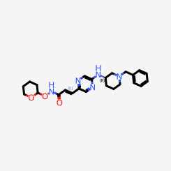 O=C(/C=C/c1cnc(N[C@@H]2CCCN(Cc3ccccc3)C2)cn1)NOC1CCCCO1